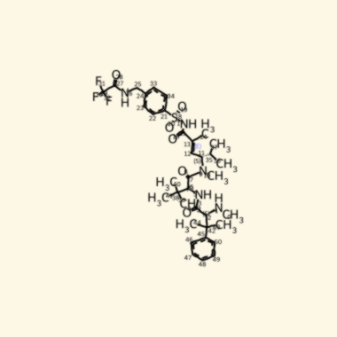 CN[C@H](C(=O)N[C@H](C(=O)N(C)[C@H](/C=C(\C)C(=O)NS(=O)(=O)c1ccc(CNC(=O)C(F)(F)F)cc1)C(C)C)C(C)(C)C)C(C)(C)c1ccccc1